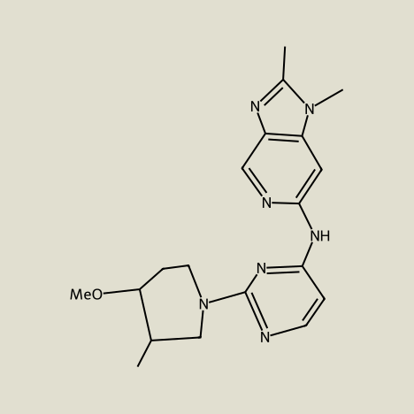 COC1CCN(c2nccc(Nc3cc4c(cn3)nc(C)n4C)n2)CC1C